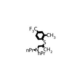 C=C(CN(CCC)CCC)Sc1ccc(C(F)(F)F)cc1C